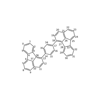 c1ccc2c(c1)-c1cccc3ccc(-c4ccc(-c5ccc6cccc7c6c5-c5ccccc5-7)cc4)c-2c13